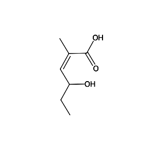 CCC(O)C=C(C)C(=O)O